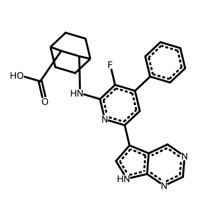 O=C(O)C1C2CCC(CC2)C1Nc1nc(-c2c[nH]c3ncncc23)cc(-c2ccccc2)c1F